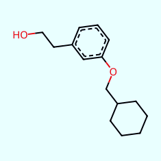 OCCc1cccc(OCC2CCCCC2)c1